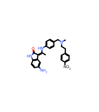 C/C(Nc1ccc(CN(C)CCc2ccc([N+](=O)[O-])cc2)cc1)=C1/C(=O)Nc2ccc(N)cc21